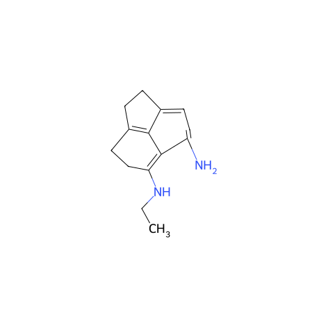 CCNC1=c2c(N)ccc3c2=C(CC1)CC3